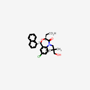 CC(C)(CO)CN1C(=O)[C@H](CC(=O)O)O[C@@H](c2cccc3ccccc23)c2cc(Cl)ccc21